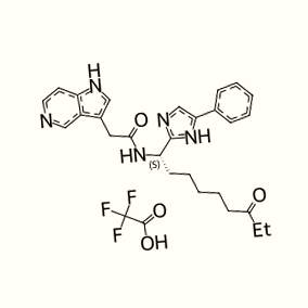 CCC(=O)CCCCC[C@H](NC(=O)Cc1c[nH]c2ccncc12)c1ncc(-c2ccccc2)[nH]1.O=C(O)C(F)(F)F